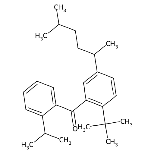 CC(C)CCC(C)c1ccc(C(C)(C)C)c(C(=O)c2ccccc2C(C)C)c1